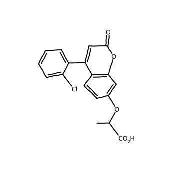 CC(Oc1ccc2c(-c3ccccc3Cl)cc(=O)oc2c1)C(=O)O